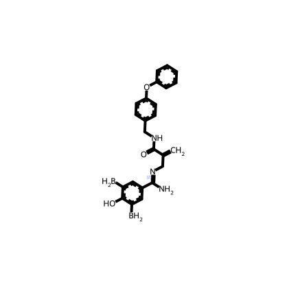 Bc1cc(/C(N)=N/CC(=C)C(=O)NCc2ccc(Oc3ccccc3)cc2)cc(B)c1O